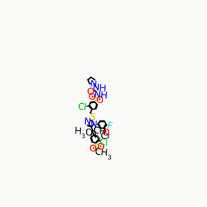 COc1cc(-n2c(C(C)(C)c3ccc(S(C)(=O)=O)c(Cl)c3)cnc2SCc2ccc(S(=O)(=O)NC(=O)NN3CCCC3)cc2Cl)ccc1F